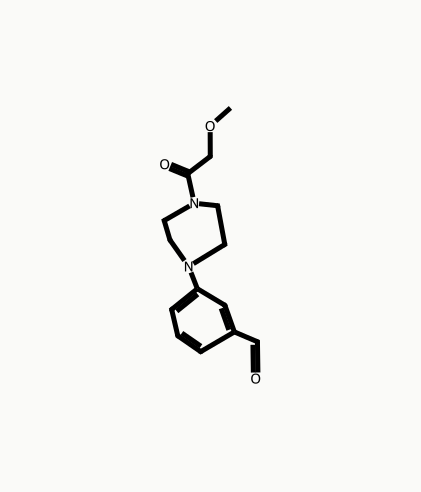 COCC(=O)N1CCN(c2cccc(C=O)c2)CC1